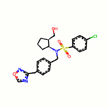 O=S(=O)(c1ccc(Cl)cc1)N(Cc1ccc(-c2ncon2)cc1)[C@H]1CCC[C@H]1CO